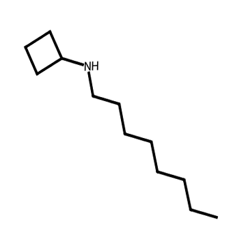 CCCCCCCCNC1CCC1